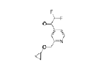 O=C(c1ccnc(COC2CC2)c1)C(F)F